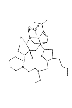 CCCCC1CC(C23C[C@@H]4[C@H](C)CC[C@H]4C4(C=O)CC2C=C(C(C)C)[C@@]34C(=O)O)OC1CN(CC)CCN1CCCCC1